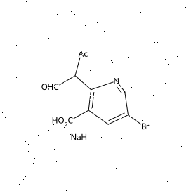 CC(=O)C(C=O)c1ncc(Br)cc1C(=O)O.[NaH]